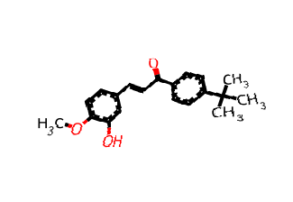 COc1ccc(/C=C/C(=O)c2ccc(C(C)(C)C)cc2)cc1O